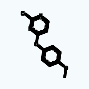 COc1ccc(Oc2ccnc(Cl)n2)cc1